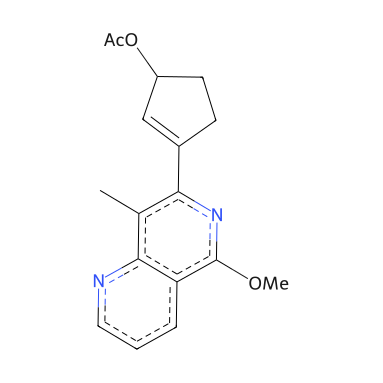 COc1nc(C2=CC(OC(C)=O)CC2)c(C)c2ncccc12